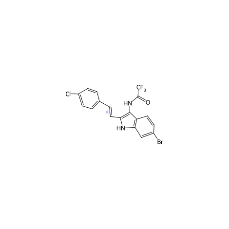 O=C(Nc1c(/C=C/c2ccc(Cl)cc2)[nH]c2cc(Br)ccc12)C(F)(F)F